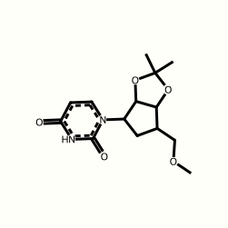 COCC1CC(n2ccc(=O)[nH]c2=O)C2OC(C)(C)OC12